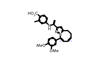 C=C(Nc1ccc(C(=O)O)c(C)c1)c1cc2n(n1)/C(c1ccc(OC)c(OC)c1)=C\C=C/CC2